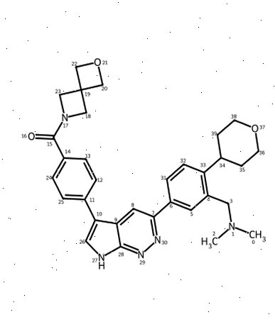 CN(C)Cc1cc(-c2cc3c(-c4ccc(C(=O)N5CC6(COC6)C5)cc4)c[nH]c3nn2)ccc1C1CCOCC1